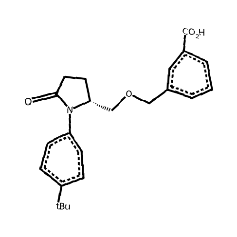 CC(C)(C)c1ccc(N2C(=O)CC[C@@H]2COCc2cccc(C(=O)O)c2)cc1